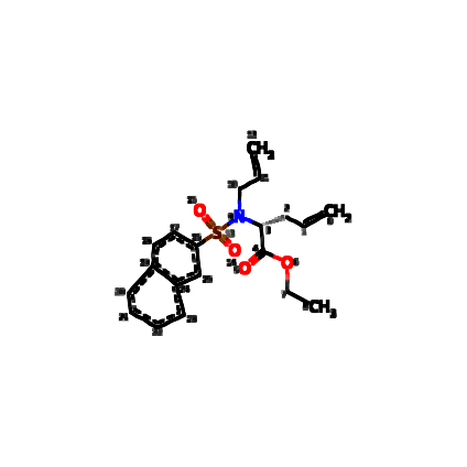 C=CC[C@H](C(=O)OCC)N(CC=C)S(=O)(=O)c1ccc2ccccc2c1